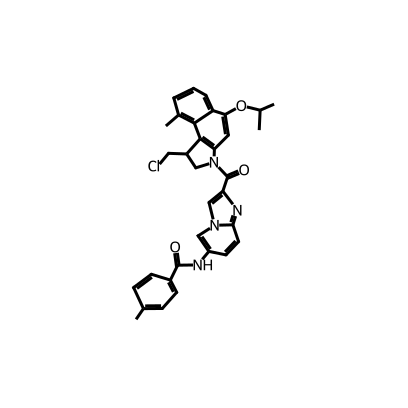 Cc1ccc(C(=O)Nc2ccc3nc(C(=O)N4CC(CCl)c5c4cc(OC(C)C)c4cccc(C)c54)cn3c2)cc1